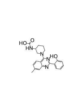 Cc1ccc2c(N3CCCC(NC(=O)O)C3)nc(-c3ccccc3O)nc2c1